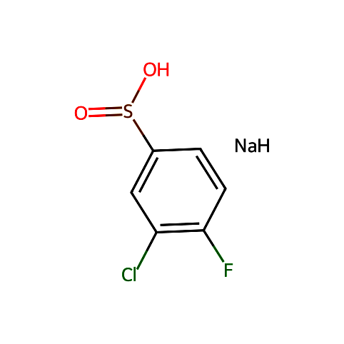 O=S(O)c1ccc(F)c(Cl)c1.[NaH]